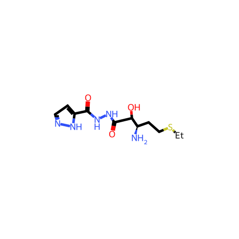 CCSCC[C@@H](N)C(O)C(=O)NNC(=O)c1ccn[nH]1